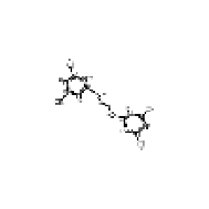 Clc1nc(Cl)nc(OCCSc2nc(Cl)nc(Cl)n2)n1